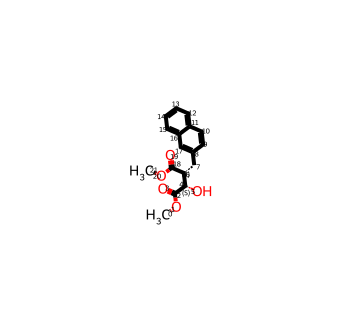 COC(=O)[C@@H](O)[C@@H](Cc1ccc2ccccc2c1)C(=O)OC